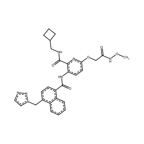 CONC(=O)COc1ccc(NC(=O)c2ccc(Cn3ccnn3)c3ccccc23)c(C(=O)NCC2CCC2)n1